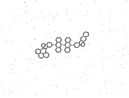 c1ccc2cc3c(cc2c1)oc1ccc(-c2c4ccccc4c(-c4c5ccccc5c(-c5ccc6oc7c8cccc9ccc%10cccc(c7c6c5)c%10c98)c5ccccc45)c4ccccc24)cc13